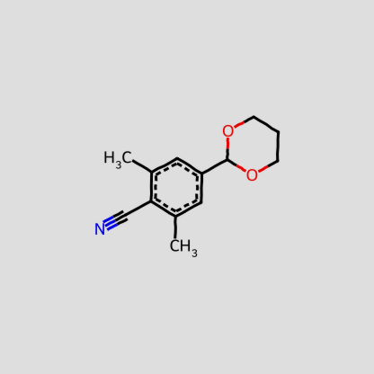 Cc1cc(C2OCCCO2)cc(C)c1C#N